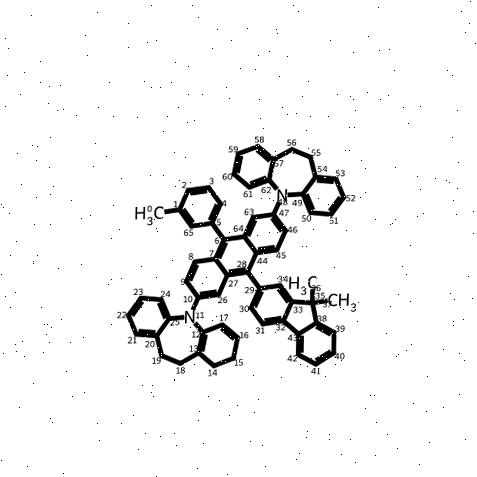 Cc1cccc(-c2c3ccc(N4C5=C(CCC=C5)CCc5ccccc54)cc3c(-c3ccc4c(c3)C(C)(C)c3ccccc3-4)c3ccc(N4c5ccccc5CCc5ccccc54)cc23)c1